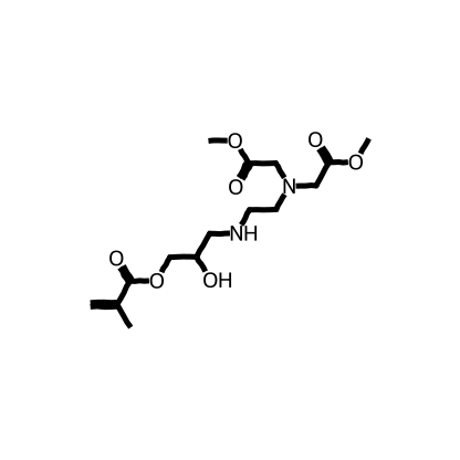 C=C(C)C(=O)OCC(O)CNCCN(CC(=O)OC)CC(=O)OC